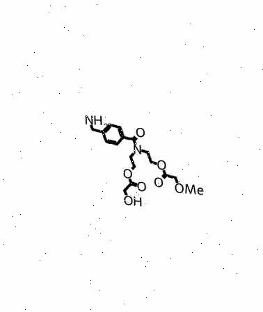 COCC(=O)OCCN(CCOC(=O)CO)C(=O)c1ccc(CN)cc1